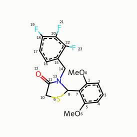 COc1cccc(OC)c1C1SCC(=O)N1Cc1ccc(F)c(F)c1F